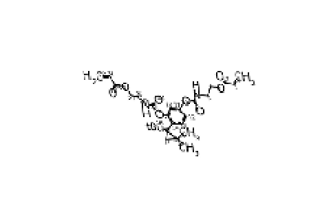 C=CC(=O)OCCNC(=O)Oc1ccc(C2(C(C)(C)C)CC2(C)C)c(OC(=O)NCCOC(=O)C=C)c1